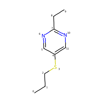 CCCSc1cnc(CC)nc1